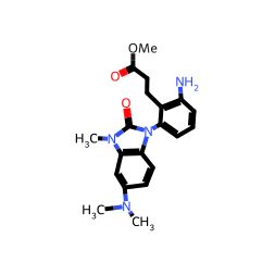 COC(=O)CCc1c(N)cccc1-n1c(=O)n(C)c2cc(N(C)C)ccc21